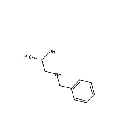 C[C@H](O)CNCc1ccccc1